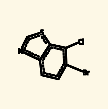 Clc1c(Br)ccc2ncsc12